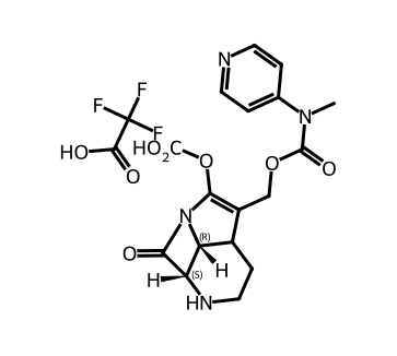 CN(C(=O)OCC1=C(OC(=O)O)N2C(=O)[C@H]3NCCC1[C@H]32)c1ccncc1.O=C(O)C(F)(F)F